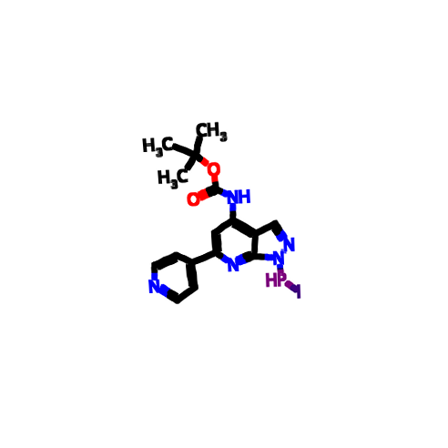 CC(C)(C)OC(=O)Nc1cc(-c2ccncc2)nc2c1cnn2PI